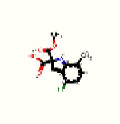 COC(=O)C1(C(=O)O)C=c2c(Cl)ccc(C)c2=N1